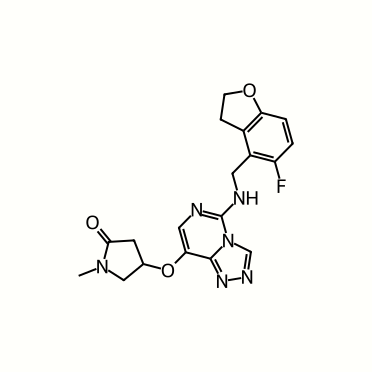 CN1CC(Oc2cnc(NCc3c(F)ccc4c3CCO4)n3cnnc23)CC1=O